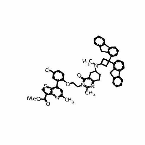 COC(=O)c1csc2c(-c3cc(Cl)ccc3OCCn3c(C)nc4c(c3=O)CC(N(C)C3CC(c5cccc6c5Cc5ccccc5-6)(c5cccc6c5Cc5ccccc5-6)C3)CC4)cc(C)nc12